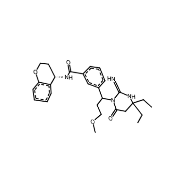 CCC1(CC)CC(=O)N(C(CCOC)c2cccc(C(=O)N[C@H]3CCOc4ccccc43)c2)C(=N)N1